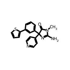 CN1C(=O)C(c2ccncc2)(c2cccc(-c3cccs3)c2)N=C1N